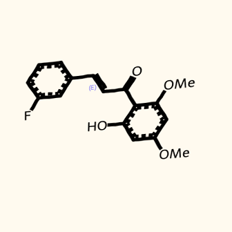 COc1cc(O)c(C(=O)/C=C/c2cccc(F)c2)c(OC)c1